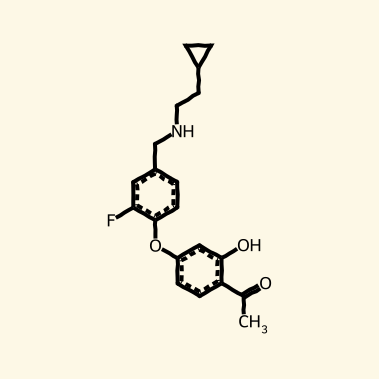 CC(=O)c1ccc(Oc2ccc(CNCCC3CC3)cc2F)cc1O